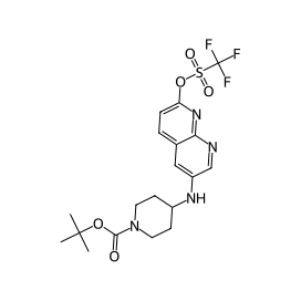 CC(C)(C)OC(=O)N1CCC(Nc2cnc3nc(OS(=O)(=O)C(F)(F)F)ccc3c2)CC1